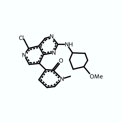 COC1CCC(Nc2ncc3c(Cl)ncc(-c4cccn(C)c4=O)c3n2)CC1